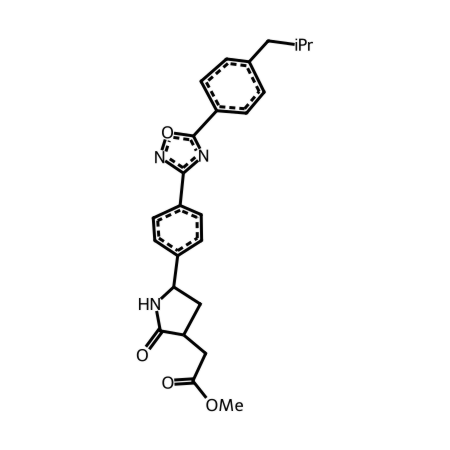 COC(=O)CC1CC(c2ccc(-c3noc(-c4ccc(CC(C)C)cc4)n3)cc2)NC1=O